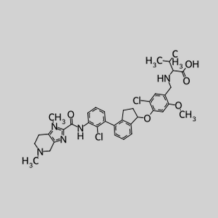 COc1cc(OC2CCc3c(-c4cccc(NC(=O)c5nc6c(n5C)CCN(C)C6)c4Cl)cccc32)c(Cl)cc1CNC(C(=O)O)C(C)C